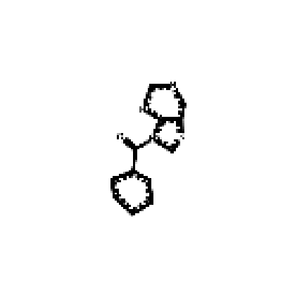 O=C(c1ccccc1)n1cnc2cncnc21